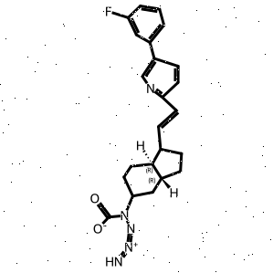 N=[N+]=NN(C(=O)[O-])C1CC[C@H]2C(C=Cc3ccc(-c4cccc(F)c4)cn3)CC[C@@H]2C1